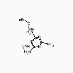 CCCCOCCCC.COC.Nc1nc(N)nc(N)n1